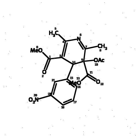 COC(=O)C1=C(C)N=C(C)C(OC(C)=O)(C(=O)OC)C1c1cccc([N+](=O)[O-])c1